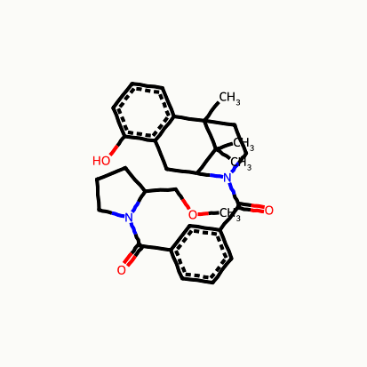 COCC1CCCN1C(=O)c1cccc(C(=O)N2CCC3(C)c4cccc(O)c4CC2C3(C)C)c1